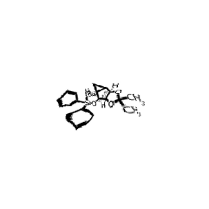 CC1(C)O[C@H]2[C@@H](O[Si](c3ccccc3)(c3ccccc3)C(C)(C)C)[C@H]3CC3[C@H]2O1